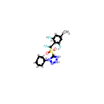 Cc1cc(F)c(C(F)S(=O)(=O)c2nnnn2-c2ccccc2)c(F)c1